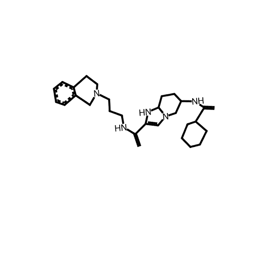 C=C(NCCCN1CCc2ccccc2C1)C1=CN2CC(NC(=C)C3CCCCC3)CCC2N1